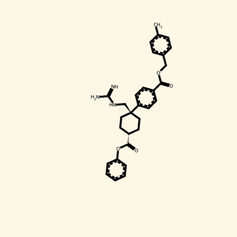 Cc1ccc(COC(=O)c2ccc([C@]3(CNC(=N)N)CC[C@H](C(=O)Oc4ccccc4)CC3)cc2)cc1